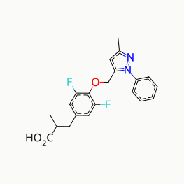 Cc1cc(COc2c(F)cc(CC(C)C(=O)O)cc2F)n(-c2ccccc2)n1